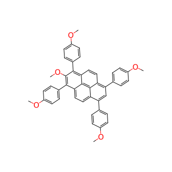 COc1ccc(-c2cc(-c3ccc(OC)cc3)c3ccc4c(-c5ccc(OC)cc5)c(OC)c(-c5ccc(OC)cc5)c5ccc2c3c54)cc1